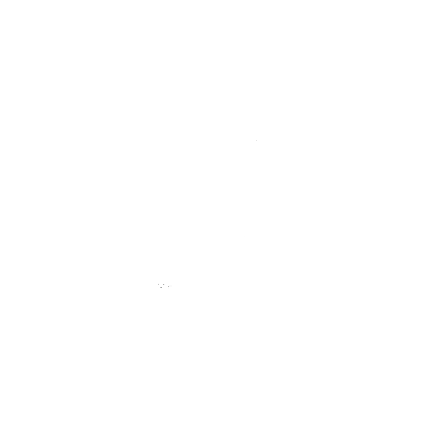 COc1ccc2ccc(C(C)C(C)C)cc2c1CO